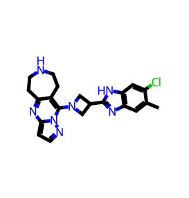 Cc1cc2nc(C3CN(c4c5c(nc6ccnn46)CCNCC5)C3)[nH]c2cc1Cl